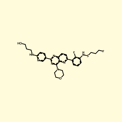 OCCCNc1ccc(-c2nc(N3CCOCC3)c3nc(-c4cccc(NSCCCF)c4F)ccc3n2)cn1